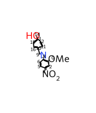 COc1cc([N+](=O)[O-])ccc1/N=C/c1ccc(O)cc1